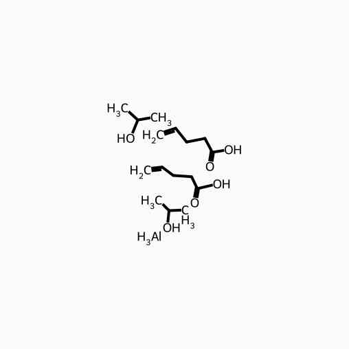 C=CCCC(=O)O.C=CCCC(=O)O.CC(C)O.CC(C)O.[AlH3]